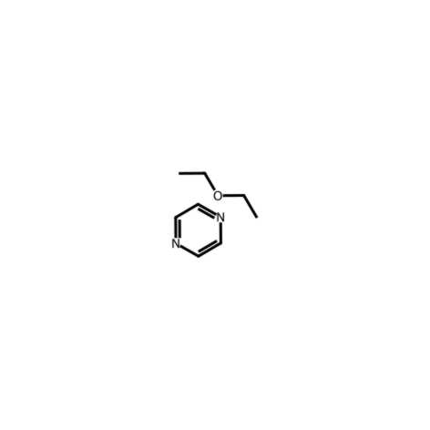 CCOCC.c1cnccn1